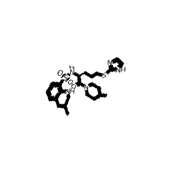 CC1CCN(C(=O)[C@H](CCCSc2ncc[nH]2)NS(=O)(=O)c2cccc3c2NCC(C)C3)CC1